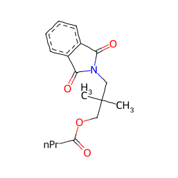 CCCC(=O)OCC(C)(C)CN1C(=O)c2ccccc2C1=O